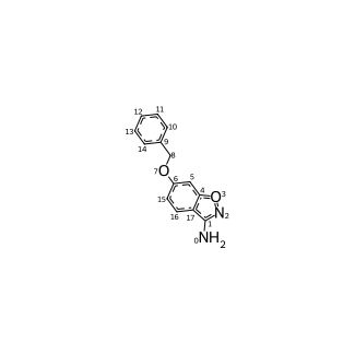 Nc1noc2cc(OCc3ccccc3)ccc12